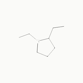 C[CH]N1CCCC1CC